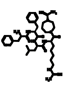 CC(C)C[C@@H](NC(=O)[C@@H](Cc1ccccc1)NC(=O)[C@H](N)Cc1ccccc1)C(=O)N[C@H](CCCCCNC(=N)N)C(=O)N1CCCN(C(=N)N)CC1